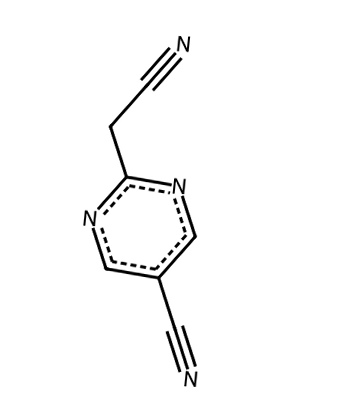 N#CCc1ncc(C#N)cn1